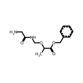 CC(OCNC(=O)CN)C(=O)OCc1ccccc1